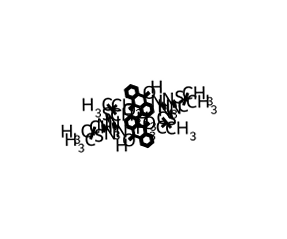 CC(C)(C)Sc1nc(Nc2ccc(-c3ccc(Nc4nc(SC(C)(C)C)nc(SC(C)(C)C)n4)c4c3C(=O)c3ccccc3C4=O)c3c2C(=O)c2ccccc2C3=O)nc(SC(C)(C)C)n1